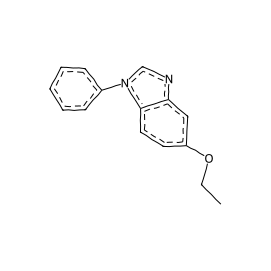 CCOc1ccc2c(c1)ncn2-c1ccccc1